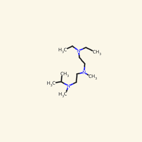 CCN(CC)CCN(C)CCN(C)C(C)C